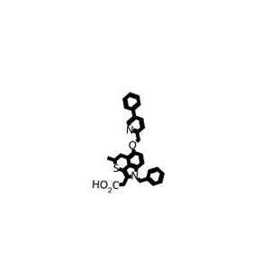 CC1Cc2c(OCc3ccc(-c4ccccc4)cn3)ccc3c2c(c(CC(=O)O)n3Cc2ccccc2)S1